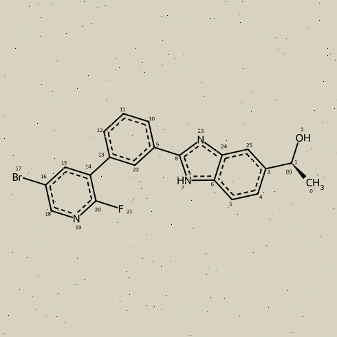 C[C@H](O)c1ccc2[nH]c(-c3cccc(-c4cc(Br)cnc4F)c3)nc2c1